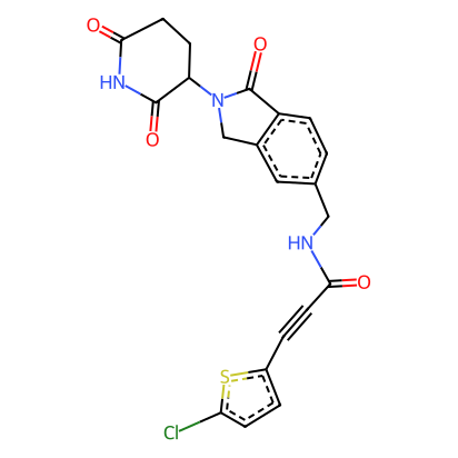 O=C(C#Cc1ccc(Cl)s1)NCc1ccc2c(c1)CN(C1CCC(=O)NC1=O)C2=O